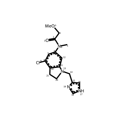 COCC(=O)N(C)c1cc(Cl)c2c(c1)N(Cc1c[nH]cn1)CC2